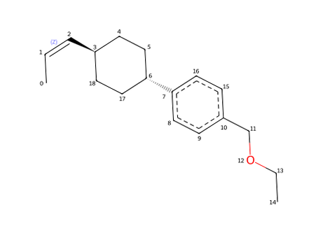 C/C=C\[C@H]1CC[C@H](c2ccc(COCC)cc2)CC1